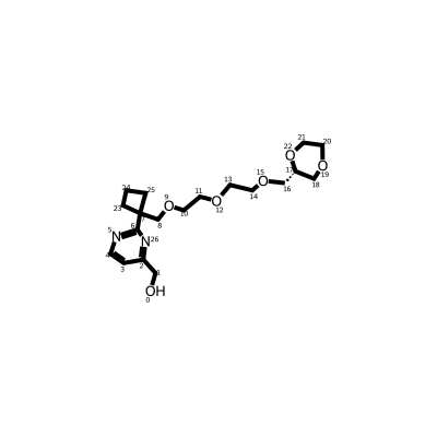 OCc1ccnc(C2(COCCOCCOC[C@H]3COCCO3)CCC2)n1